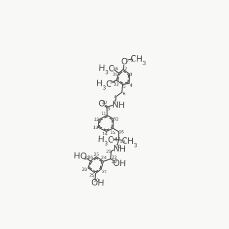 COc1ccc(CCNC(=O)c2cccc(CC(C)(C)NCC(O)c3cc(O)cc(O)c3)c2)c(C)c1C